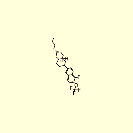 CCCC[C@@H]1CC[C@@H]2CC(c3ccc4c(F)c(OC(F)(F)F)ccc4c3)CCC2C1